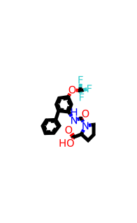 O=C(O)C1CCCN1C(=O)Nc1cc(OC(F)(F)F)ccc1-c1ccccc1